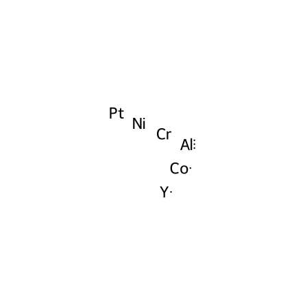 [Al].[Co].[Cr].[Ni].[Pt].[Y]